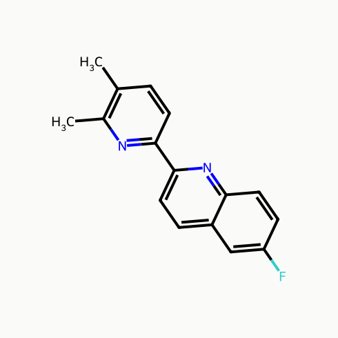 Cc1ccc(-c2ccc3cc(F)ccc3n2)nc1C